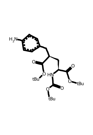 CC(C)(C)OC(=O)N[C@@H](C[C@H](Cc1ccc(N)cc1)C(=O)OC(C)(C)C)C(=O)OC(C)(C)C